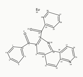 O=C(c1ccccc1)c1cc2ccc3ncccc3c2nc1C(=O)c1ccccc1.[Eu]